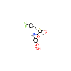 C=C(NC(=O)c1c(CCc2ccc(C(F)(F)F)cc2)sc2c1CCOC2)c1ccc(OOO)cc1